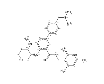 C=C1NC(C)=CC(C)=C1CNC(=O)c1cc(-c2ccc(CN(C)C)nc2)cc(N(C)C2CCOCC2)c1C